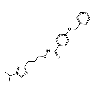 CC(C)c1cnc(CCCONC(=O)c2ccc(OCc3ccccc3)cc2)s1